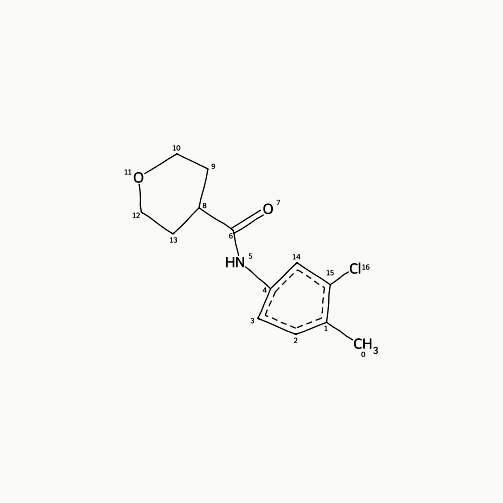 Cc1ccc(NC(=O)C2CCOCC2)cc1Cl